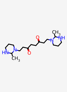 CC1NCCCN1CCC(=O)CCC(=O)CCN1CCCNC1C